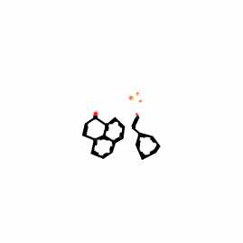 O=C1C=Cc2cccc3cccc1c23.O=P(O)(O)OC=Cc1ccccc1